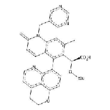 C=C1C=Cc2c(cc(C)c([C@H](OC(C)(C)C)C(=O)O)c2-c2ccc3c4c(ccnc24)CCO3)N1Cc1cncnc1